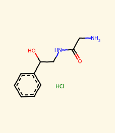 Cl.NCC(=O)NCC(O)c1ccccc1